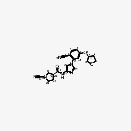 N#Cc1ccc(O[C@H]2CCOC2)cc1-n1cnc(NC(=O)[C@H]2CCN(C#N)C2)c1